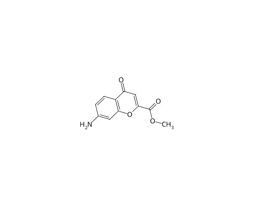 COC(=O)c1cc(=O)c2ccc(N)cc2o1